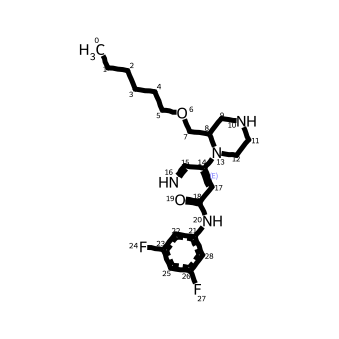 CCCCCCOCC1CNCCN1/C(C=N)=C/C(=O)Nc1cc(F)cc(F)c1